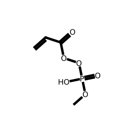 C=CC(=O)OOP(=O)(O)OC